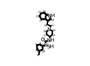 Cc1cccc(N(S)C(=O)NC2CCN(CCc3c[nH]c4ccccc34)CC2)c1